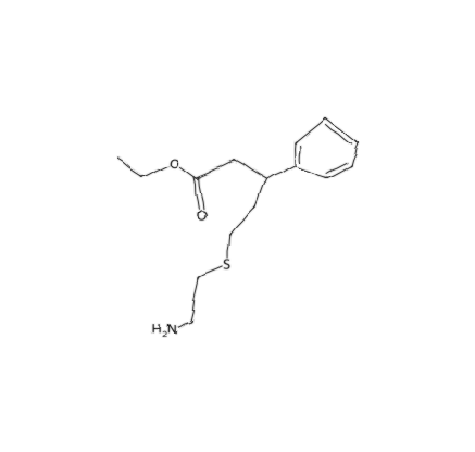 CCOC(=O)CC(CCSCCN)c1ccccc1